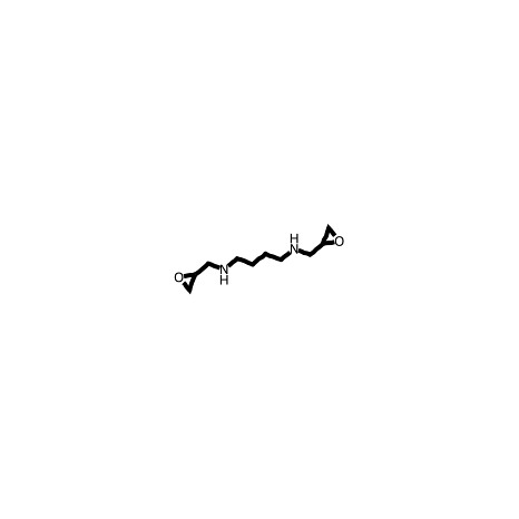 C(CCNCC1CO1)CNCC1CO1